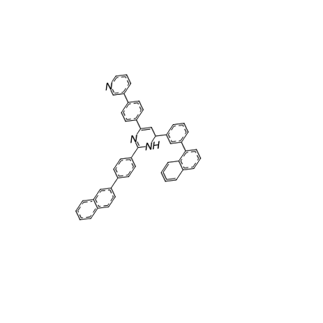 C1=C=Cc2c(cccc2-c2cccc(C3C=C(c4ccc(-c5cccnc5)cc4)N=C(c4ccc(-c5ccc6ccccc6c5)cc4)N3)c2)C=1